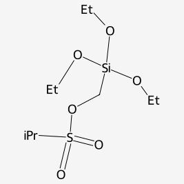 CCO[Si](COS(=O)(=O)C(C)C)(OCC)OCC